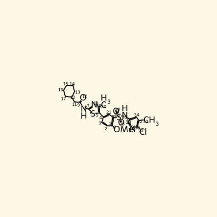 COc1ccc(-c2sc(NC(=O)CC3CCCCC3)nc2C)cc1S(=O)(=O)Nc1cnc(Cl)c(C)c1